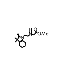 C=C1N(CCNCC(=O)OC)C2=C(CCCC2)C1(C)C